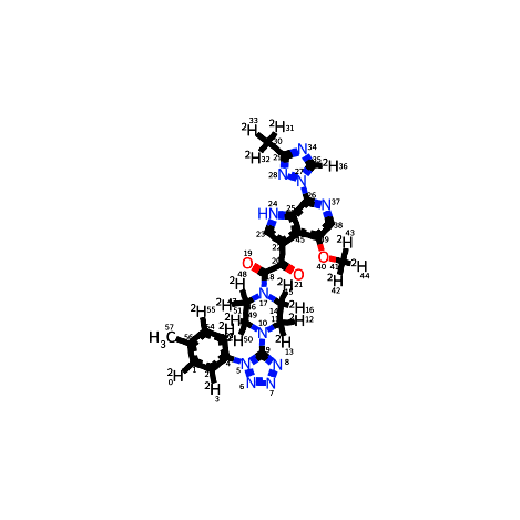 [2H]c1c([2H])c(-n2nnnc2N2C([2H])([2H])C([2H])([2H])N(C(=O)C(=O)c3c[nH]c4c(-n5nc(C([2H])([2H])[2H])nc5[2H])ncc(OC([2H])([2H])[2H])c34)C([2H])([2H])C2([2H])[2H])c([2H])c([2H])c1C